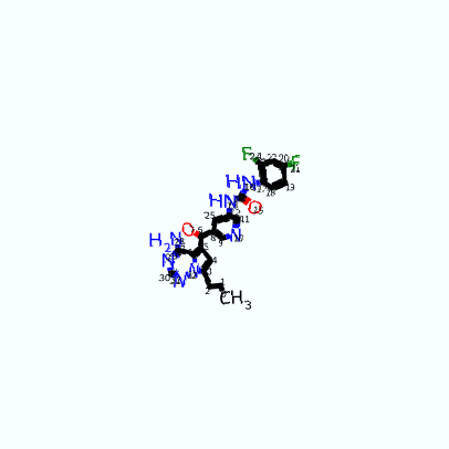 CCCc1cc(C(=O)c2cncc(NC(=O)Nc3ccc(F)cc3F)c2)c2c(N)ncnn12